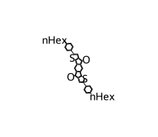 CCCCCCc1ccc(-c2cc3c(=O)c4cc5c(cc4c3s2)c(=O)c2cc(-c3ccc(CCCCCC)cc3)sc25)cc1